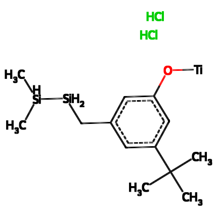 C[SiH](C)[SiH2]Cc1cc([O][Ti])cc(C(C)(C)C)c1.Cl.Cl